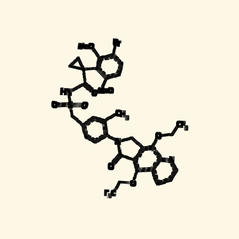 COc1ccc(Br)c(OC)c1C1(C(=O)NS(=O)(=O)Cc2ccc(N3Cc4c(c(OCC(F)(F)F)c5cccnc5c4OCC(F)(F)F)C3=O)c(C)c2)CC1